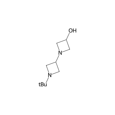 CC(C)(C)N1CC(N2CC(O)C2)C1